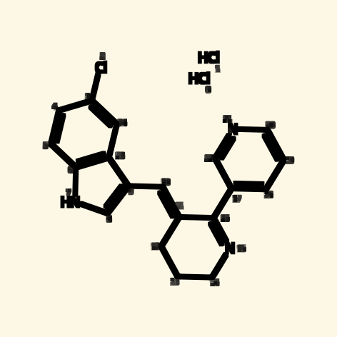 Cl.Cl.Clc1ccc2[nH]cc(C=C3CCCN=C3c3cccnc3)c2c1